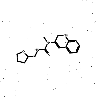 CN(C(=S)NCC1CCCO1)C1=Cc2ccccc2NC1